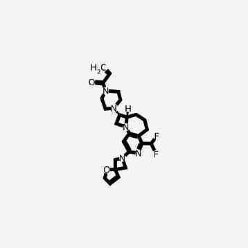 C=CC(=O)N1CCN([C@@H]2CN3c4cc(N5CC6(C=CCO6)C5)nc(C(F)F)c4CCC[C@@H]23)CC1